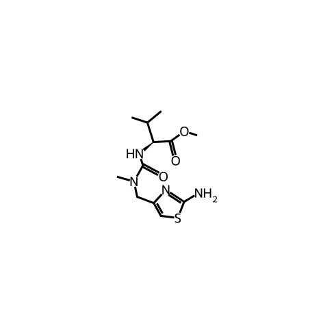 COC(=O)[C@@H](NC(=O)N(C)Cc1csc(N)n1)C(C)C